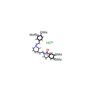 COc1ccc(CCN2CCCC(CCN3CCc4cc(OC)c(OC)cc4C3=O)C2)cc1OC.Cl